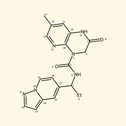 CCC(NC(=O)N1CC(=O)Nc2cc(C)cnc21)c1ccn2nccc2c1